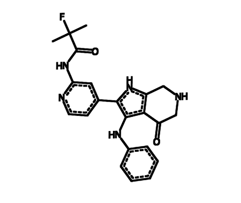 CC(C)(F)C(=O)Nc1cc(-c2[nH]c3c(c2Nc2ccccc2)C(=O)CNC3)ccn1